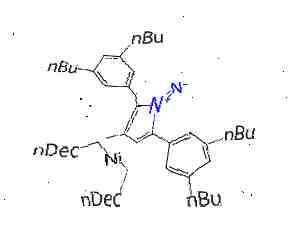 CCCCCCCCCC[CH2][Ni][CH2]CCCCCCCCCC.CCCCc1cc(CCCC)cc(C2=CC(C)=C(c3cc(CCCC)cc(CCCC)c3)[N+]2=[N-])c1